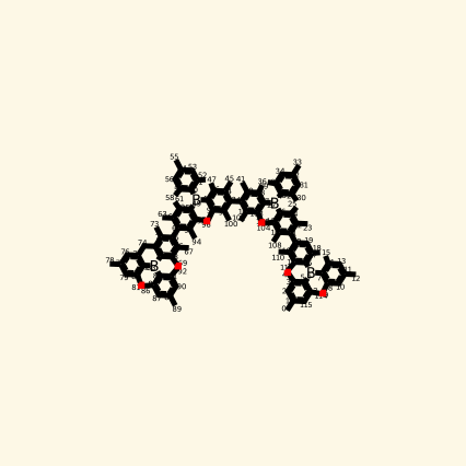 Cc1cc(C)c(B(c2c(C)cc(C)cc2C)c2c(C)cc(-c3c(C)c(C)c(B(c4c(C)cc(C)cc4C)c4c(C)c(C)c(-c5c(C)c(C)c(B(c6c(C)cc(C)cc6C)c6c(C)c(C)c(-c7c(C)c(C)c8c(c7C)Cc7cc(C)cc(C)c7B8c7c(C)cc(C)cc7C)c(C)c6C)c(C)c5C)c(C)c4C)c(C)c3C)c(C)c2C)c(C)c1